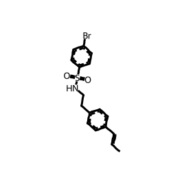 CC=Cc1ccc(CCNS(=O)(=O)c2ccc(Br)cc2)cc1